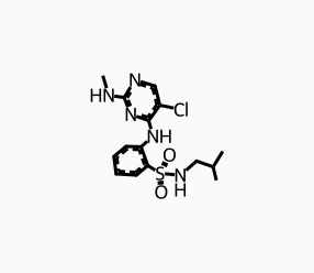 CNc1ncc(Cl)c(Nc2ccccc2S(=O)(=O)NCC(C)C)n1